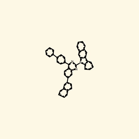 c1ccc(-c2ccc(-c3nc(-n4c5ccccc5c5cc6ccccc6cc54)nc4cc(-c5ccc6ccccc6c5)ccc34)cc2)cc1